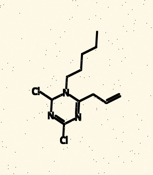 C=CCC1=NC(Cl)=NC(Cl)N1CCCCC